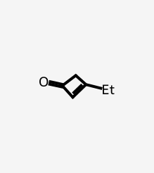 CCC1=CC(=O)C1